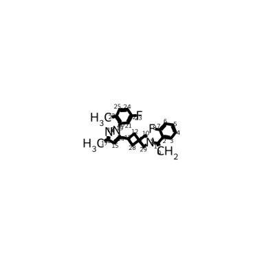 C=C(c1ccccc1F)N1CC2(CC(c3cc(C)nn3-c3cc(F)ccc3C)C2)C1